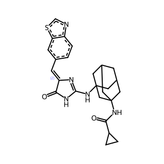 O=C1NC(NC23CC4CC(CC(NC(=O)C5CC5)(C4)C2)C3)=N/C1=C\c1ccc2ncsc2c1